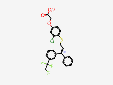 O=C(O)COc1ccc(SC/C=C(/c2ccccc2)c2cccc(C(F)(F)CF)c2)c(Cl)c1